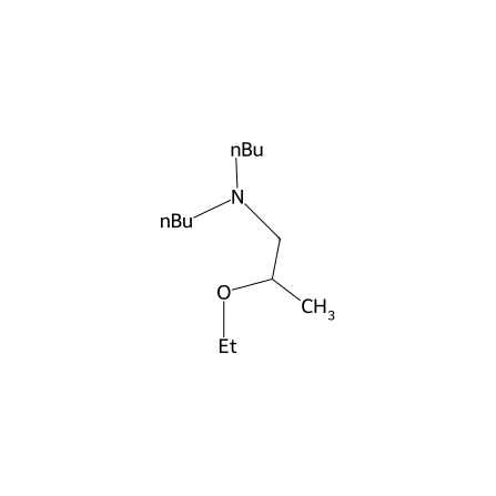 CCCCN(CCCC)CC(C)OCC